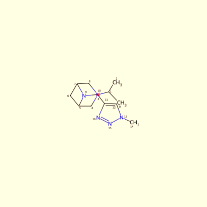 CC(C)N1CC2CC(C1)N2Cc1cn(C)nn1